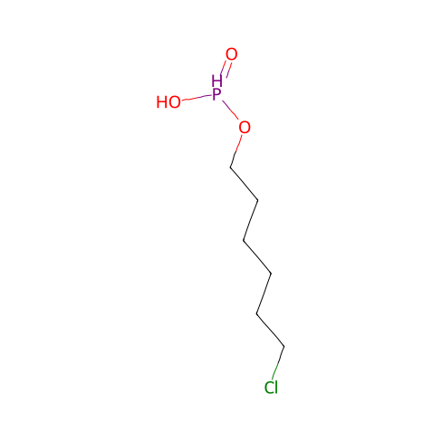 O=[PH](O)OCCCCCCCl